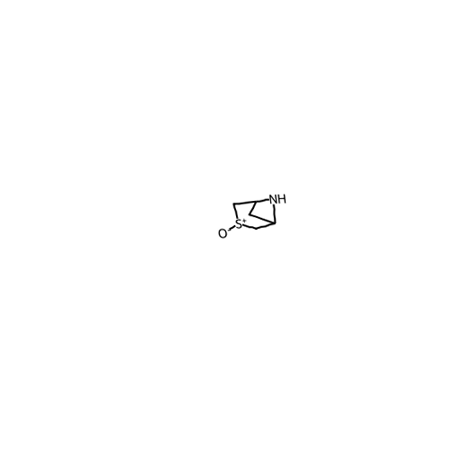 [O-][S+]1CC2CC(C1)N2